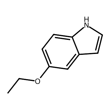 CCOc1ccc2[nH]ccc2c1